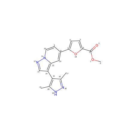 COC(=O)c1ccc(-c2ccn3ncc(-c4c(C)n[nH]c4C)c3c2)o1